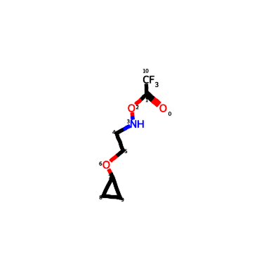 O=C(ONCCOC1CC1)C(F)(F)F